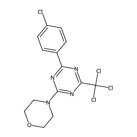 Clc1ccc(-c2nc(N3CCOCC3)nc(C(Cl)(Cl)Cl)n2)cc1